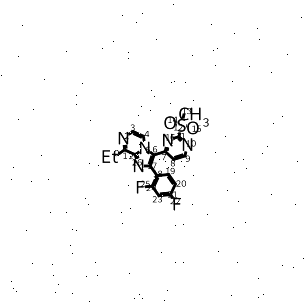 CCc1nccn2c(-c3ccnc(S(C)(=O)=O)n3)c(-c3ccc(F)cc3F)nc12